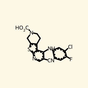 N#Cc1cnc2sc3c(c2c1Nc1ccc(F)c(Cl)c1)CCN(C(=O)O)C3